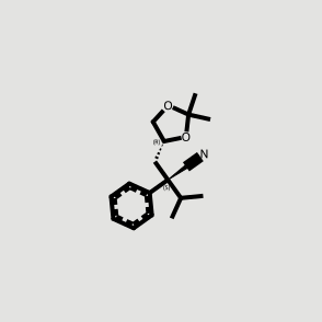 CC(C)[C@@](C#N)(C[C@@H]1COC(C)(C)O1)c1ccccc1